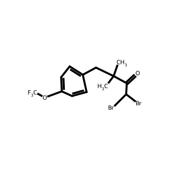 CC(C)(Cc1ccc(OC(F)(F)F)cc1)C(=O)C(Br)Br